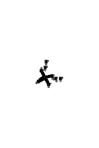 F.O=P([O-])([O-])[O-].[K+].[K+].[K+]